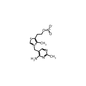 Cc1ncc(C[n+]2csc(CCO[N+](=O)[O-])c2C)c(N)n1